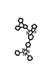 c1ccc(-c2nc(-c3ccccc3)nc(-c3ccc(-c4ccc5c(c4)nc(-c4ccc6c7ccccc7c7ccccc7c6c4)c4c6ccccc6sc54)cc3)n2)cc1